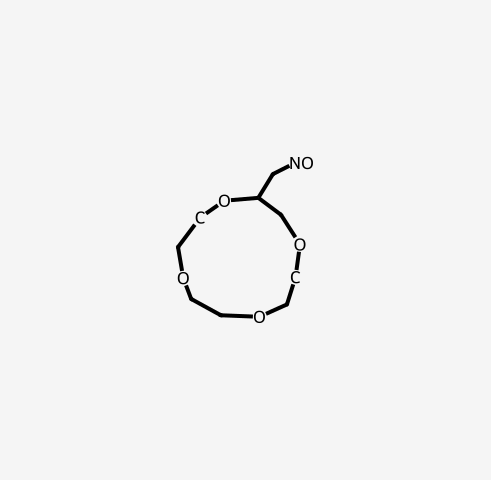 O=NCC1COCCOCCOCCO1